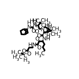 CCCCC(NC(=O)[C@@H]1[C@@H]2[C@H](CN1C(=O)[C@@H](NC(=O)NC1CC3CCC1C3)C(C)(C)C)C2(C)C)C(=O)C(=O)NCCC(=O)OC(C)(C)C